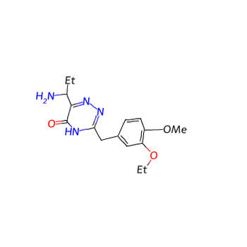 CCOc1cc(Cc2nnc(C(N)CC)c(=O)[nH]2)ccc1OC